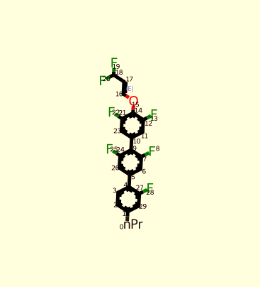 CCCc1ccc(-c2cc(F)c(-c3cc(F)c(O/C=C/C(F)F)c(F)c3)c(F)c2)c(F)c1